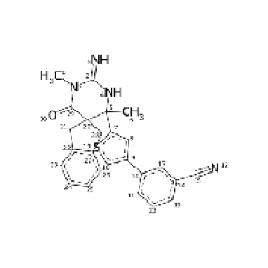 CN1C(=N)NC(C)(c2cc(-c3cccc(C#N)c3)cs2)C2(Cc3ccccc3C2)C1=O